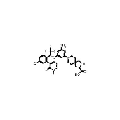 Cn1cccc(-c2cc(Cl)ccc2[C@@H](Oc2cc(N3CCC4(CC3)CNC(C(=O)O)C4)nc(N)n2)C(F)(F)F)c1=O